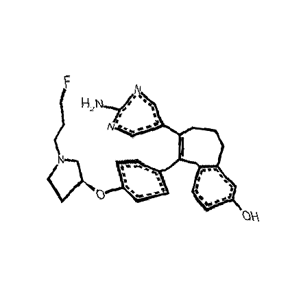 Nc1ncc(C2=C(c3ccc(O[C@H]4CCN(CCCF)C4)cc3)c3ccc(O)cc3CCC2)cn1